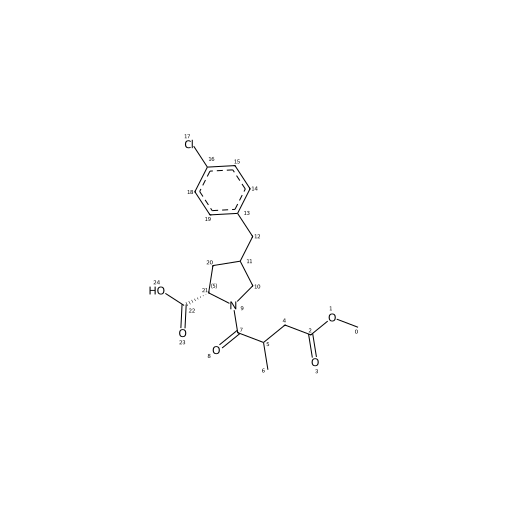 COC(=O)CC(C)C(=O)N1CC(Cc2ccc(Cl)cc2)C[C@H]1C(=O)O